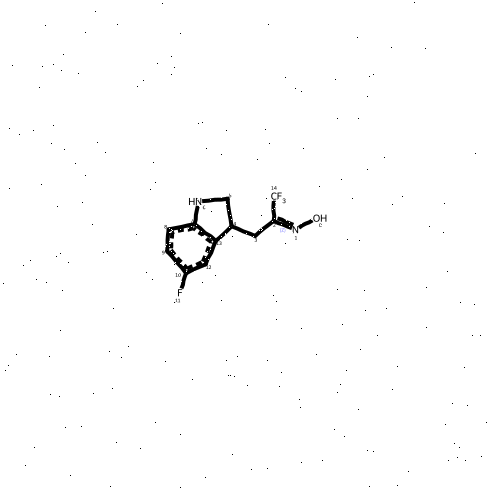 O/N=C(/CC1CNc2ccc(F)cc21)C(F)(F)F